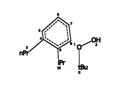 CC(C)(C)OO.CCCc1ccccc1C(C)C